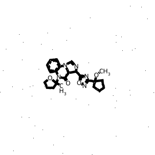 COC1(c2noc(C3N=CN4c5ccccc5N(C5(C)CCCO5)C(=O)C34)n2)CCCC1